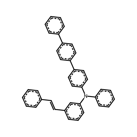 C(=C\c1cccc(N(c2ccccc2)c2ccc(-c3ccc(-c4ccccc4)cc3)cc2)c1)/c1ccccc1